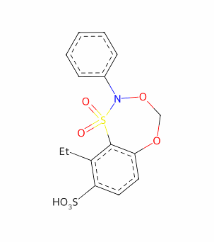 CCc1c(S(=O)(=O)O)ccc2c1S(=O)(=O)N(c1ccccc1)OCO2